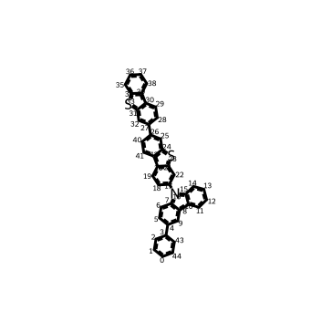 c1ccc(-c2ccc3c(c2)c2ccccc2n3-c2ccc3c(c2)sc2cc(-c4ccc5c(c4)sc4ccccc45)ccc23)cc1